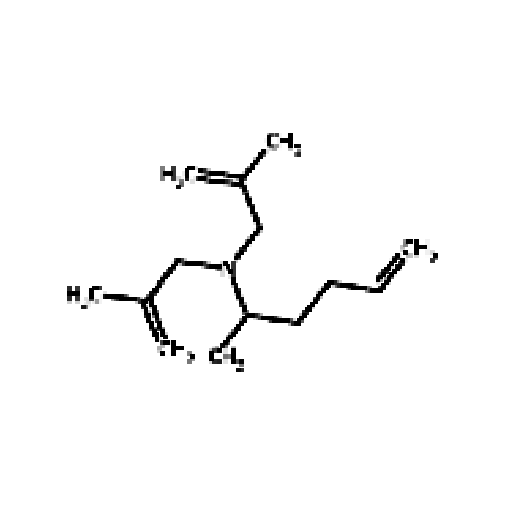 C=CCCC(C)N(CC(=C)C)CC(=C)C